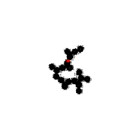 c1ccc(-c2ccc(-n3c4ccccc4c4cc(-c5ccc6c(c5)c5ccccc5n6-c5ccc(-c6cc(-c7ccccc7)cc(-c7cccc(-c8ccc(-n9c%10ccccc%10c%10cc(-c%11ccc%12c(c%11)c%11cc(-c%13ccccc%13)ccc%11n%12-c%11cc(-c%12ccccc%12)cc(-c%12ccccc%12)c%11)ccc%109)cc8)c7)c6)cc5)ccc43)cc2)cc1